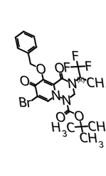 C[C@@H](N1CN(C(=O)OC(C)(C)C)n2cc(Br)c(=O)c(OCc3ccccc3)c2C1=O)C(F)(F)F